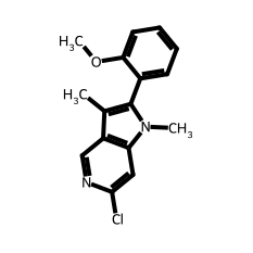 COc1ccccc1-c1c(C)c2cnc(Cl)cc2n1C